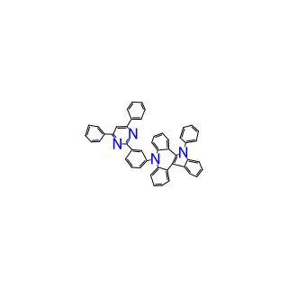 c1ccc(-c2cc(-c3ccccc3)nc(-c3cccc(N4c5ccccc5-c5c(n(-c6ccccc6)c6ccccc56)-c5ccccc54)c3)n2)cc1